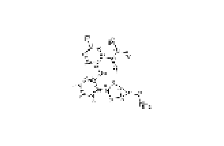 CCN(C(=O)c1cc(F)ccc1Oc1cncnc1N1CC2C(CN)C2C1)C(C)C